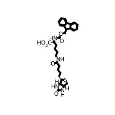 O=C(CCCC[C@@H]1SC[C@H]2NC(=O)N[C@@H]12)NCCCC[C@H](NC(=O)OCC1c2ccccc2-c2ccccc21)C(=O)O